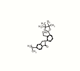 CC(=O)OCc1c(B2OC(C)(C)C(C)(C)O2)cccc1N1Cc2cc(N(C)C)ccc2C1=O